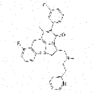 Cc1c(Cc2c(F)cccc2F)c2n(c(=O)c1-c1cccc(Cl)c1)C(CN(C)CCc1ccccn1)CS2